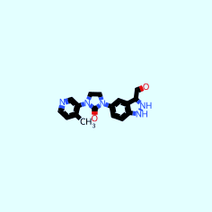 Cc1ccncc1N1CCN(c2ccc3c(c2)C(C=O)NN3)C1=O